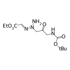 CCOC(=O)C=NN(N)CC(=O)CNC(=O)OC(C)(C)C